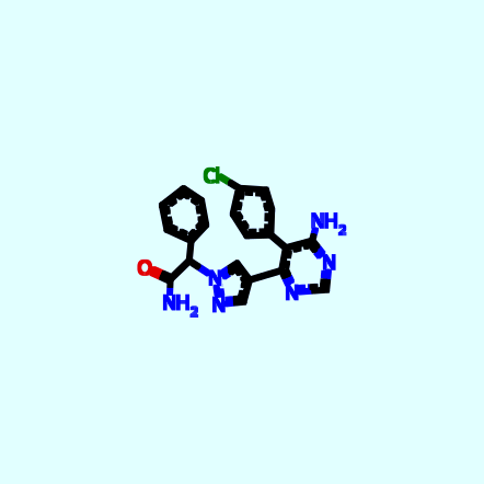 NC(=O)C(c1ccccc1)n1cc(-c2ncnc(N)c2-c2ccc(Cl)cc2)cn1